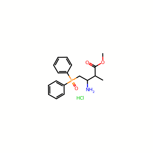 COC(=O)C(C)C(N)CP(=O)(c1ccccc1)c1ccccc1.Cl